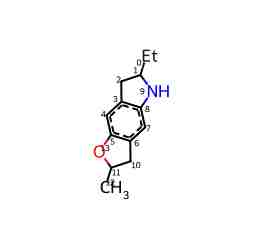 CCC1Cc2cc3c(cc2N1)CC(C)O3